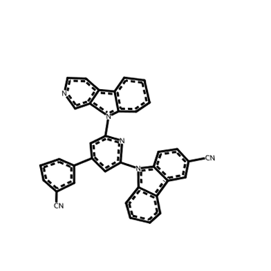 N#Cc1cccc(-c2cc(-n3c4ccccc4c4cc(C#N)ccc43)nc(-n3c4ccccc4c4ccncc43)c2)c1